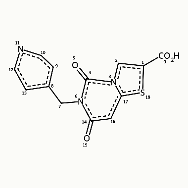 O=C(O)c1cn2c(=O)n(Cc3ccncc3)c(=O)cc2s1